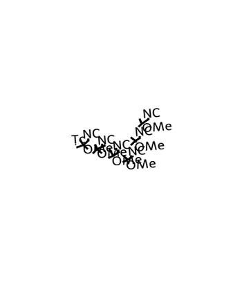 [C-]#[N+]CC(C)(C)OC.[C-]#[N+]CC(C)(C)OC.[C-]#[N+]CC(C)(C)OC.[C-]#[N+]CC(C)(C)OC.[C-]#[N+]CC(C)(C)OC.[C-]#[N+]CC(C)(C)OC.[Tc]